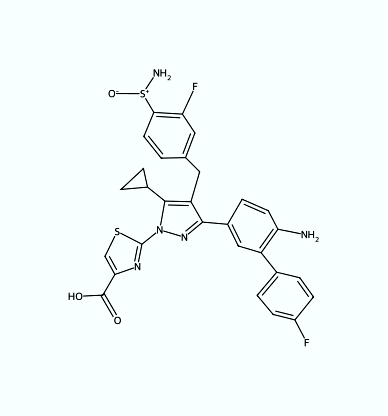 Nc1ccc(-c2nn(-c3nc(C(=O)O)cs3)c(C3CC3)c2Cc2ccc([S+](N)[O-])c(F)c2)cc1-c1ccc(F)cc1